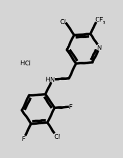 Cl.Fc1ccc(NCc2cnc(C(F)(F)F)c(Cl)c2)c(F)c1Cl